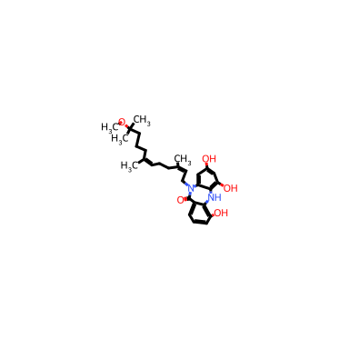 COC(C)(C)CCCC(C)=CCCC(C)=CCN1C(=O)c2cccc(O)c2Nc2c(O)cc(O)cc21